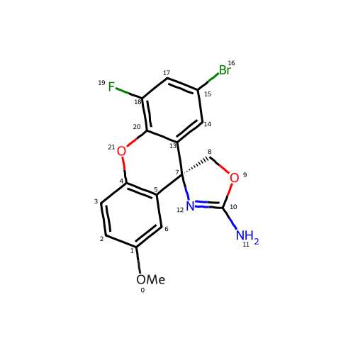 COc1ccc2c(c1)[C@@]1(COC(N)=N1)c1cc(Br)cc(F)c1O2